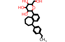 CCc1ccc(C2CCCCc3c2cccc3C2OC(CO)C(O)C(O)C2O)cc1